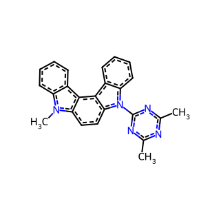 Cc1nc(C)nc(-n2c3ccccc3c3c4c5ccccc5n(C)c4ccc32)n1